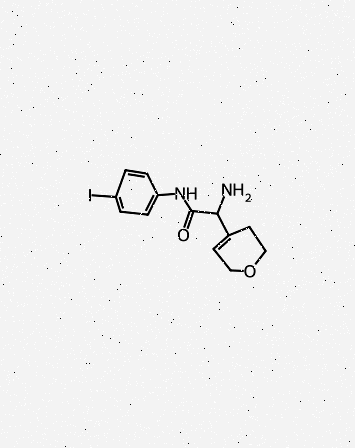 NC(C(=O)Nc1ccc(I)cc1)C1=CCOCC1